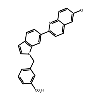 O=C(O)c1cccc(Cn2ccc3ccc(-c4ccc5cc(Cl)ccc5n4)cc32)c1